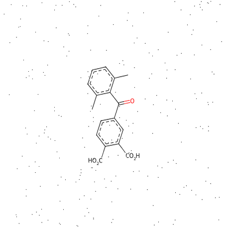 Cc1cccc(C)c1C(=O)c1ccc(C(=O)O)c(C(=O)O)c1